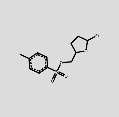 CCC1CCC(COS(=O)(=O)c2ccc(C)cc2)O1